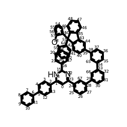 C1=C(c2ccc(-c3ccccc3)cc2)NC(c2ccccc2)N=C1c1cccc(-c2cccc(-c3cccc(-c4ccc5c(c4)-c4ccccc4C54c5ccccc5Oc5ccccc54)c3)c2)c1